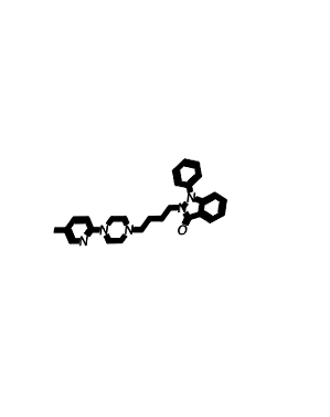 Cc1ccc(N2CCN(CCCCn3c(=O)c4ccccc4n3-c3ccccc3)CC2)nc1